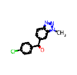 Cn1nnc2ccc(C(=O)c3ccc(Cl)cc3)cc21